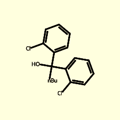 CCCCC(O)(c1ccccc1Cl)c1ccccc1Cl